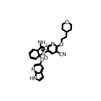 N#Cc1cc(S(=O)(=O)C2(Oc3cnc4[nH]ccc4c3)C=CC=CC2C(N)=O)cnc1OCCC1CCOCC1